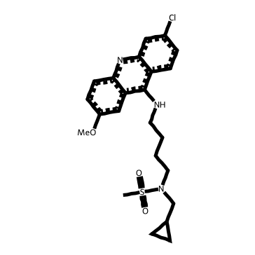 COc1ccc2nc3cc(Cl)ccc3c(NCCCCN(CC3CC3)S(C)(=O)=O)c2c1